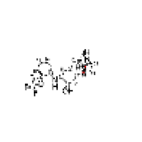 Oc1cc2c(cc1Nc1ccccc1OC(F)(F)F)C[C@H]1NCC[C@@]23CCCC[C@@H]13